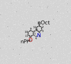 CCCCCCCCc1ccc(/N=C\c2ccccc2OCCC)cc1